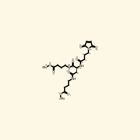 CC(C)(C)OC(=O)CCCNC(=O)C[C@H](NC(=O)CCCN1C(=O)C=CC1=O)C(=O)NCCCC(=O)OC(C)(C)C